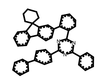 c1ccc(-c2ccc(-c3nc(-c4ccccc4)nc(-c4ccccc4-c4ccc5c(c4)C4(CCCCC4)c4ccccc4-5)n3)cc2)cc1